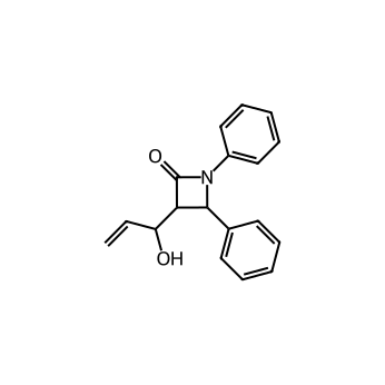 C=CC(O)C1C(=O)N(c2ccccc2)C1c1ccccc1